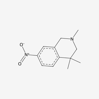 CN1Cc2cc([N+](=O)[O-])ccc2C(C)(C)C1